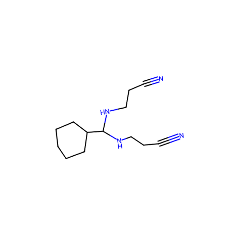 N#CCCNC(NCCC#N)C1CCCCC1